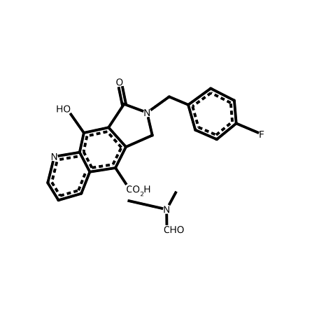 CN(C)C=O.O=C(O)c1c2c(c(O)c3ncccc13)C(=O)N(Cc1ccc(F)cc1)C2